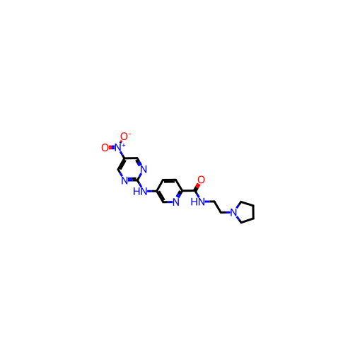 O=C(NCCN1CCCC1)c1ccc(Nc2ncc([N+](=O)[O-])cn2)cn1